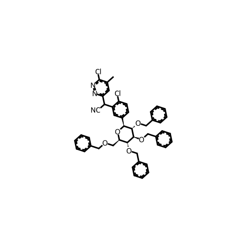 Cc1cc(C(C#N)c2cc([C@@H]3O[C@H](COCc4ccccc4)[C@@H](OCc4ccccc4)[C@H](OCc4ccccc4)[C@H]3OCc3ccccc3)ccc2Cl)nnc1Cl